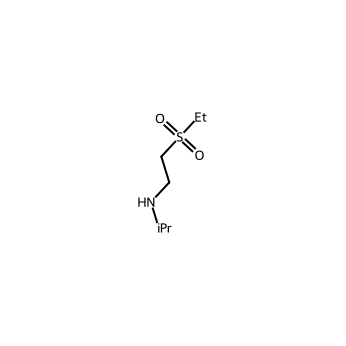 CCS(=O)(=O)CCNC(C)C